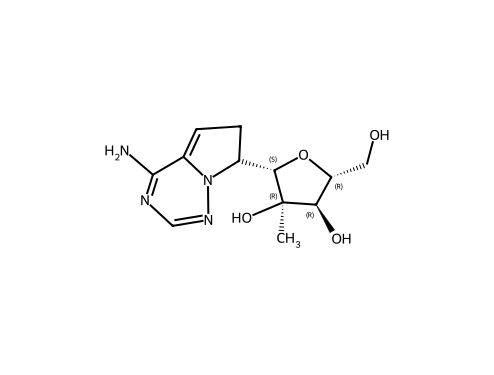 C[C@@]1(O)[C@H](O)[C@@H](CO)O[C@H]1C1CC=C2C(N)=NC=NN21